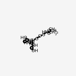 CC(C)(C)OC(=O)NCCOCCOCCOCCNc1nc(Nc2cccc(O)c2)nc(Nc2ccc(O)c3ccccc23)n1